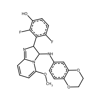 COC1=CC=CC2=NC(c3c(F)ccc(O)c3F)C(Nc3ccc4c(c3)OCCO4)N12